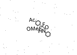 COc1cc(C(C)=O)ccc1C(F)(F)C(=O)Nc1ccccc1